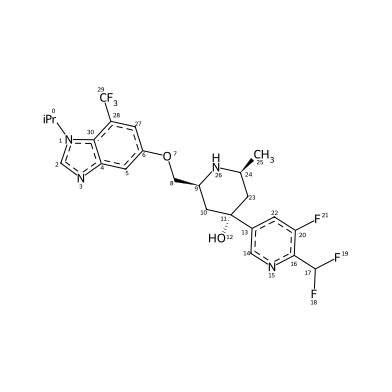 CC(C)n1cnc2cc(OC[C@@H]3C[C@](O)(c4cnc(C(F)F)c(F)c4)C[C@H](C)N3)cc(C(F)(F)F)c21